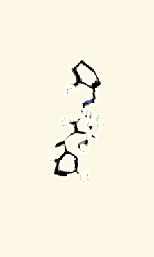 CP(=O)(O)C(C(=O)N/C=C/c1ccccc1F)c1csc2ccc(Cl)cc12